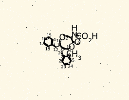 C[C@@H]1OC(=O)[C@@H](NC(=O)O)COC[C@H](Cc2ccccc2)[C@H]1Cc1ccccc1